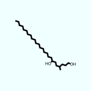 CCCCCCCCCCCCCCCCCCC(O)CCC(C)CCCO